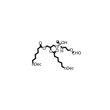 CCCCCCCCCCCCCCCC(=O)OCC(COP(=O)(O)NCCOC=O)OC(=O)CCCCCCCCCCCCCCC